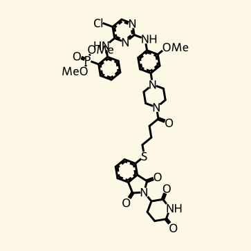 COc1cc(N2CCN(C(=O)CCCSc3cccc4c3C(=O)N(C3CCC(=O)NC3=O)C4=O)CC2)ccc1Nc1ncc(Cl)c(Nc2ccccc2P(=O)(OC)OC)n1